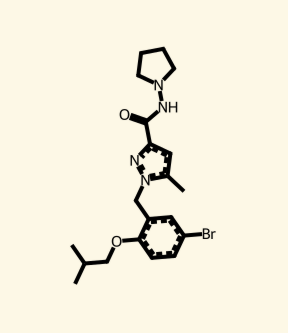 Cc1cc(C(=O)NN2CCCC2)nn1Cc1cc(Br)ccc1OCC(C)C